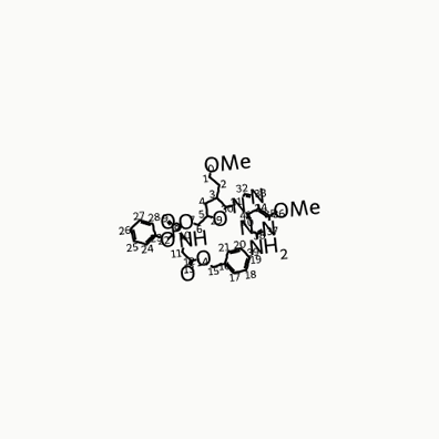 COCCC1CC(COP(=O)(NCC(=O)OCc2ccccc2)Oc2ccccc2)OC1n1cnc2c(OC)nc(N)nc21